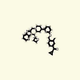 Cc1cc(C(=O)C2CC2)ccc1COc1cccc(C2CCN(Cc3nc4cccnc4n3C[C@@H]3CCO3)CC2)n1